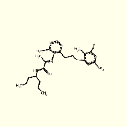 CCCC(CCC)NC(=P)/C(C)=N/c1c(C)ncnc1CCCc1cc(C)cc(F)c1C